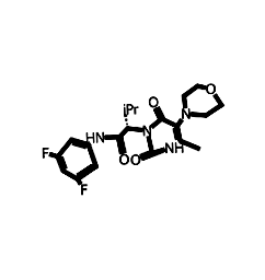 Cc1[nH]c(=O)n([C@H](C(=O)Nc2cc(F)cc(F)c2)C(C)C)c(=O)c1N1CCOCC1